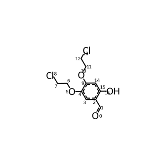 O=Cc1cc(OCCCl)c(OCCCl)cc1O